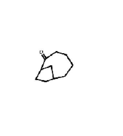 O=C1CCCCC2CCC1C2